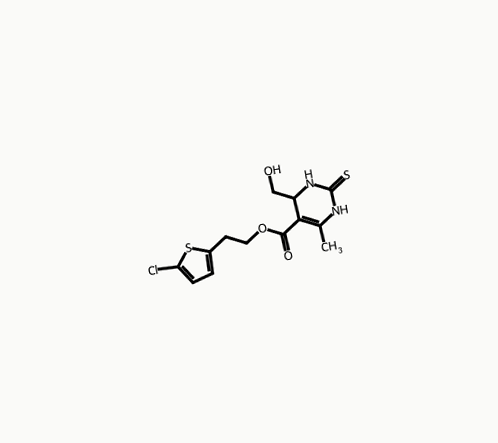 CC1=C(C(=O)OCCc2ccc(Cl)s2)C(CO)NC(=S)N1